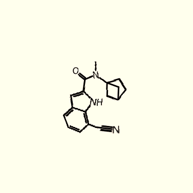 CN(C(=O)c1cc2cccc(C#N)c2[nH]1)C12CCC(C1)C2